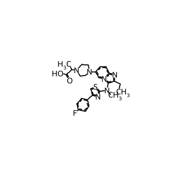 CCc1nc2ccc(N3CCN(C(C)C(=O)O)CC3)cn2c1N(C)c1nc(-c2ccc(F)cc2)cs1